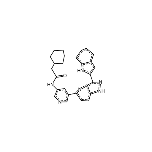 O=C(CC1CCCCC1)Nc1cncc(-c2ccc3[nH]nc(-c4cc5ccccc5[nH]4)c3n2)c1